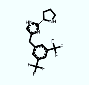 FC(F)(F)c1cc(Cc2c[nH]c([C@@H]3CCCN3)n2)cc(C(F)(F)F)c1